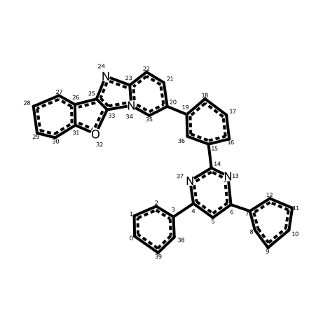 c1ccc(-c2cc(-c3ccccc3)nc(-c3cccc(-c4ccc5nc6c7ccccc7oc6n5c4)c3)n2)cc1